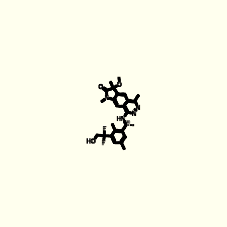 COC1(C)C(=O)N(C)c2cc3c(N[C@H](C)c4cc(C)cc(C(F)(F)CO)c4C)nnc(C)c3cc21